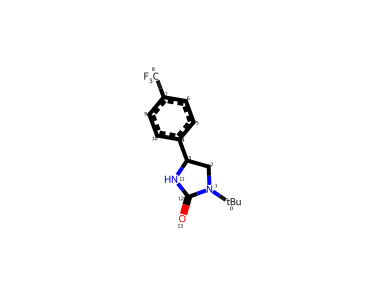 CC(C)(C)N1CC(c2ccc(C(F)(F)F)cc2)NC1=O